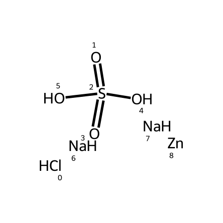 Cl.O=S(=O)(O)O.[NaH].[NaH].[Zn]